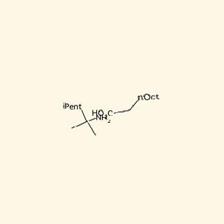 CCCC(C)C(C)(C)N.CCCCCCCCCC(=O)O